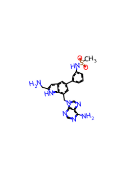 CS(=O)(=O)Nc1cccc(-c2cc(Cn3cnc4c(N)ncnc43)c3[nH]c(CN)cc3c2)c1